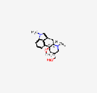 CO[C@]12C[C@@H](CO)CN(C)[C@@H]1Cc1cn(C)c3cccc2c13